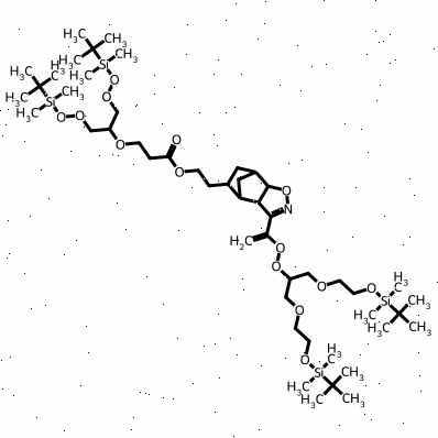 C=C(OOC(COCCO[Si](C)(C)C(C)(C)C)COCCO[Si](C)(C)C(C)(C)C)C1=NOC2C3CC(CCOC(=O)CCOC(COO[Si](C)(C)C(C)(C)C)COO[Si](C)(C)C(C)(C)C)C(C3)C12